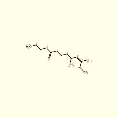 CCCOC(=O)CCCC(N)C=C(C)CP